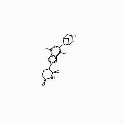 O=C1CCC(n2cc3c(F)cc(N4C5CNCC4C5)c(F)c3c2)C(=O)N1